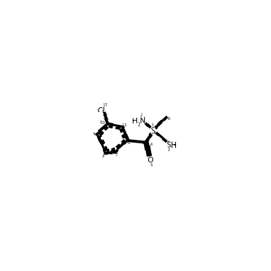 CS(N)(S)C(=O)c1cccc(Cl)c1